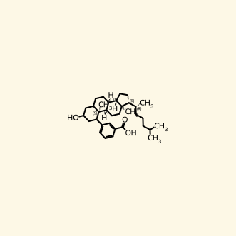 CC(C)CCC[C@@H](C)[C@H]1CC[C@H]2[C@@H]3CCC4CC(O)CC(c5cccc(C(=O)O)c5)[C@]4(C)[C@H]3CC[C@]12C